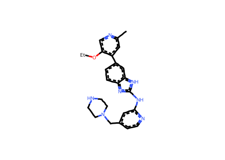 CCOc1cnc(C)cc1-c1ccc2nc(Nc3cc(CN4CCNCC4)ccn3)[nH]c2c1